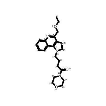 CCOCc1nc2ccccc2c2c1ncn2CCCC(=O)N1CCOCC1